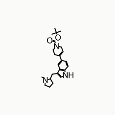 CN1CCCC1Cc1c[nH]c2ccc(C3=CCN(C(=O)OC(C)(C)C)CC3)cc12